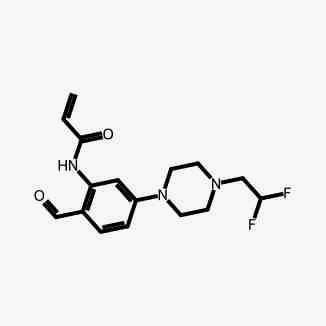 C=CC(=O)Nc1cc(N2CCN(CC(F)F)CC2)ccc1C=O